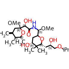 C=C1C[C@](OC)([C@H](O)C(=O)N[C@@H](OC)C2C[C@@H](O)C(C)(C)[C@@H](C[C@H](O)COC(C)C)O2)O[C@H](C)[C@@H]1C